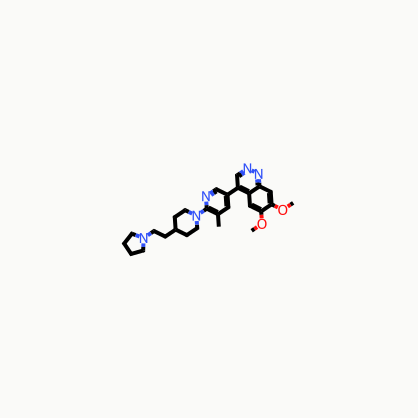 COc1cc2nncc(-c3cnc(N4CCC(CCN5CCCC5)CC4)c(C)c3)c2cc1OC